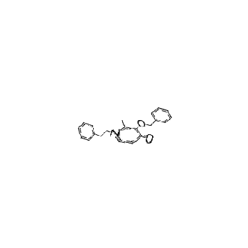 Cc1c(OCc2ccccc2)c(=O)ccn1CCc1ccccc1